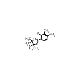 Cc1c(N)ccc(B2OC(C)(C)C(C)(C)O2)c1F